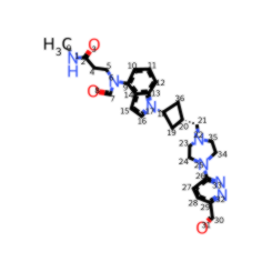 CNC(=O)CCN(C=O)c1cccc2c1ccn2[C@H]1C[C@@H](CN2CCN(c3ccc(C=O)nn3)CC2)C1